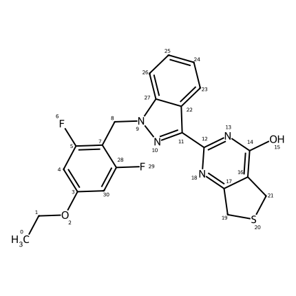 CCOc1cc(F)c(Cn2nc(-c3nc(O)c4c(n3)CSC4)c3ccccc32)c(F)c1